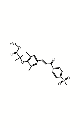 Cc1cc(/C=C/C(=O)c2ccc(S(C)(=O)=O)cc2)cc(C)c1OC(C)(C)C(=O)OC(C)(C)C